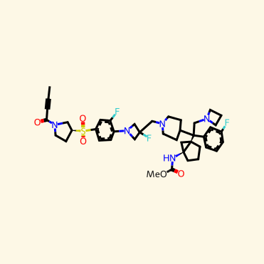 CC#CC(=O)N1CC[C@H](S(=O)(=O)c2ccc(N3CC(F)(CN4CCC(C(CN5CCC5)(c5cccc(F)c5)[C@@]56CCC[C@]5(NC(=O)OC)C6)CC4)C3)c(F)c2)C1